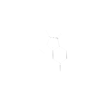 CO[C@@]12CN(C)CC[C@@H]1C(=O)N(C)C2